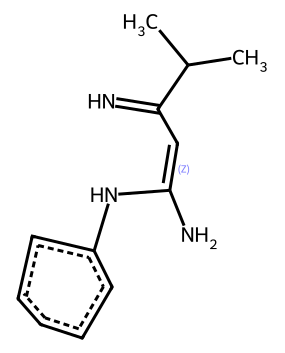 CC(C)C(=N)/C=C(/N)Nc1ccccc1